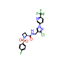 O=C(NCc1cn(-c2ccc(C(F)(F)F)nc2)nc1Cl)[C@@H]1CCN1S(=O)(=O)c1ccc(F)cc1